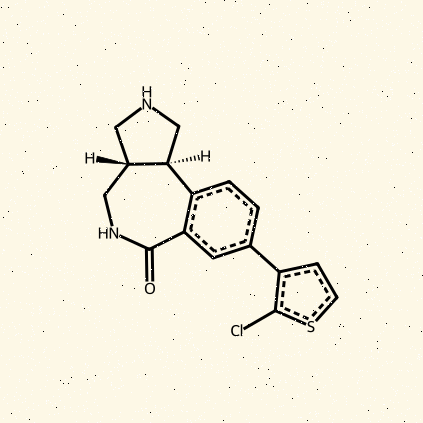 O=C1NC[C@@H]2CNC[C@H]2c2ccc(-c3ccsc3Cl)cc21